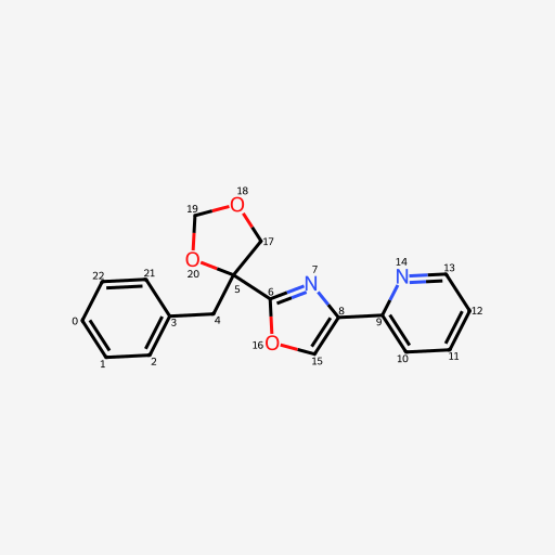 c1ccc(CC2(c3nc(-c4ccccn4)co3)COCO2)cc1